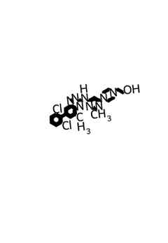 Cc1nc(Nc2nnc3cc(-c4c(Cl)cccc4Cl)cc(C)c3n2)cc(N2CCN(CCO)CC2)n1